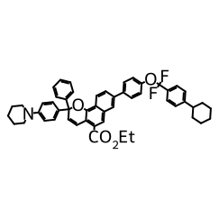 CCOC(=O)c1cc2cc(-c3ccc(OC(F)(F)c4ccc(C5CCCCC5)cc4)cc3)ccc2c2c1C=CC(c1ccccc1)(c1ccc(N3CCCCC3)cc1)O2